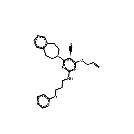 C=CCOc1nc(NCCCOc2ccccc2)nc(N2CCc3ccccc3CC2)c1C#N